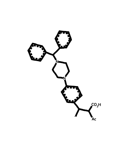 [CH2]C(c1ccc(N2CCN(C(c3ccccc3)c3ccccc3)CC2)cc1)C(C(C)=O)C(=O)O